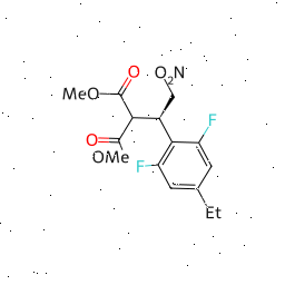 CCc1cc(F)c([C@H](C[N+](=O)[O-])C(C(=O)OC)C(=O)OC)c(F)c1